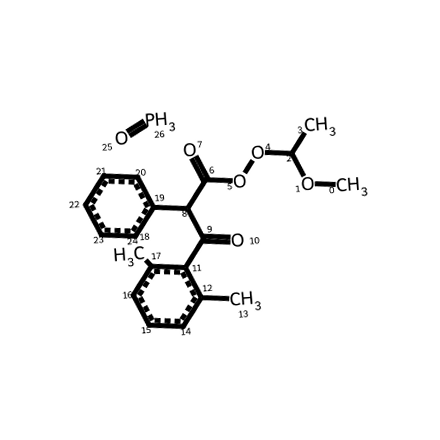 COC(C)OOC(=O)C(C(=O)c1c(C)cccc1C)c1ccccc1.O=[PH3]